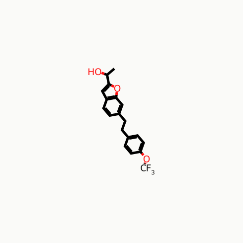 CC(O)c1cc2ccc(CCc3ccc(OC(F)(F)F)cc3)cc2o1